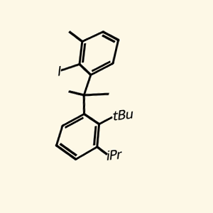 Cc1cccc(C(C)(C)c2cccc(C(C)C)c2C(C)(C)C)c1I